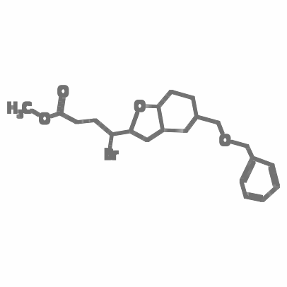 COC(=O)CCC(Br)C1CC2CC(COCc3ccccc3)CCC2O1